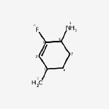 CC1C=C(F)C(N)CC1